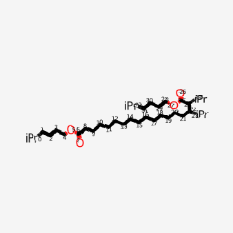 CC(C)CCCCOC(=O)CCCCCCCCCCCCCCC(C(C)C)C(C(=O)OCCCCC(C)C)C(C)C